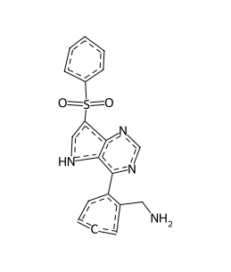 NCc1ccccc1-c1ncnc2c(S(=O)(=O)c3ccccc3)c[nH]c12